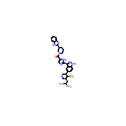 Cc1c(CC(C)N)cncc1-c1ccc2[nH]nc(-c3ncc(C(=O)N4CCCC(c5nc6ccccc6[nH]5)C4)[nH]3)c2c1